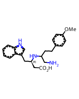 COc1ccc(CCC(CN)N[C@@H](CC(=O)O)Cc2c[nH]c3ccccc23)cc1